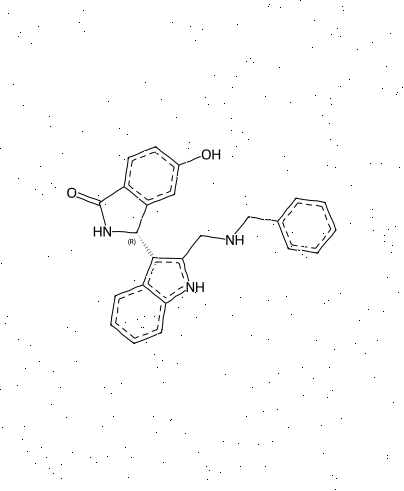 O=C1N[C@@H](c2c(CNCc3ccccc3)[nH]c3ccccc23)c2cc(O)ccc21